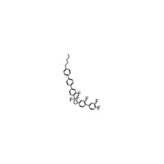 CCCCCc1ccc(-c2ccc(-c3ccc(C(F)(F)Oc4ccc(-c5ccc(F)c(F)c5)c(F)c4)c(F)c3)cc2)cc1